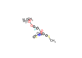 CCCCSc1ccc(-c2ccc(OC(=O)CCc3ccc(-c4ccc(OCCCOC(=O)C(C)(C)C)cc4)c(F)c3)c(/C=N/N=C(\C)c3cc4ccccc4s3)c2)cc1